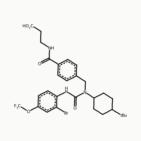 CC(C)(C)C1CCC(N(Cc2ccc(C(=O)NCCC(=O)O)cc2)C(=O)Nc2ccc(OC(F)(F)F)cc2Br)CC1